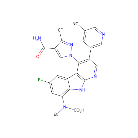 CCN(C(=O)O)c1cc(F)cc2c1[nH]c1ncc(-c3cncc(C#N)c3)c(-n3cc(C(N)=O)c(C(F)(F)F)n3)c12